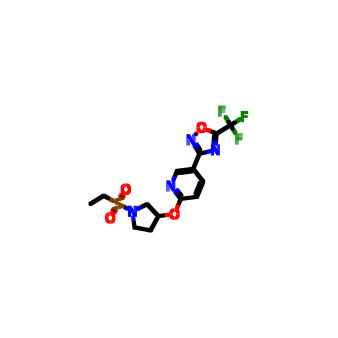 CCS(=O)(=O)N1CCC(Oc2ccc(-c3noc(C(F)(F)F)n3)cn2)C1